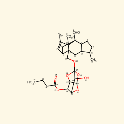 CC(C)C1=CC2CC3(C=O)C4CCC(C)C4CC2(COC24OC5OC(C(OC(=O)CCC(=O)O)C5O2)C4O)C13C(=O)O